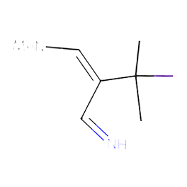 CN/C=C(\C=N)C(C)(C)I